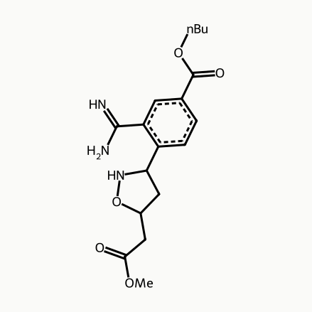 CCCCOC(=O)c1ccc(C2CC(CC(=O)OC)ON2)c(C(=N)N)c1